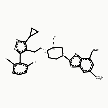 CC[C@@H]1CN(c2nc3c(OC)cc(C(=O)O)cc3s2)CC[C@@H]1OCc1c(-c2c(Cl)cccc2Cl)noc1C1CC1